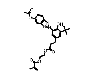 C=C(C)C(=O)OCCOC(=O)CCc1cc(-n2n3c4ccc(OC(C)=O)cc4n23)c(O)c(C(C)(C)C)c1